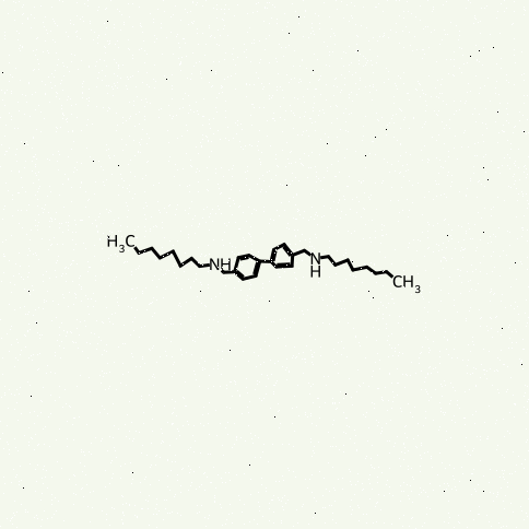 CCCCCCCCNCc1ccc(-c2ccc(CNCCCCCCCC)cc2)cc1